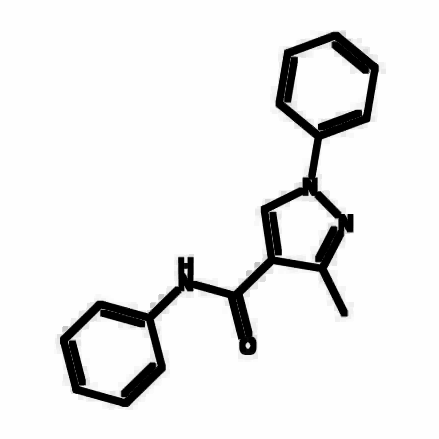 Cc1nn(-c2ccccc2)cc1C(=O)Nc1ccccc1